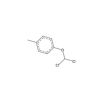 Cc1ccc(OC(Cl)Cl)cc1